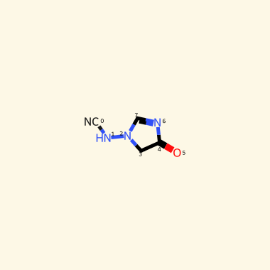 N#CNN1[CH]C(=O)N=C1